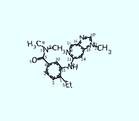 CCc1ccc(C(=O)N(C)C)cc1Nc1cc2c(cn1)ncn2C